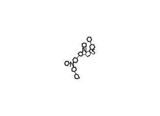 C1=CC2c3cc(-c4ccc(N(c5ccccc5)c5ccc(-c6ccccc6)cc5)cc4)ccc3N(c3ccccc3)C2c2c1sc1ccc(-c3ccccc3)cc21